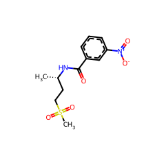 C[C@@H](CCS(C)(=O)=O)NC(=O)c1cccc([N+](=O)[O-])c1